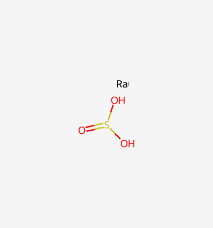 O=S(O)O.[Ra]